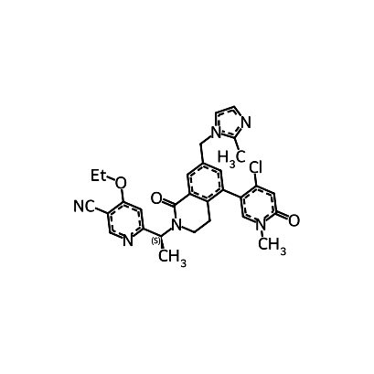 CCOc1cc([C@H](C)N2CCc3c(cc(Cn4ccnc4C)cc3-c3cn(C)c(=O)cc3Cl)C2=O)ncc1C#N